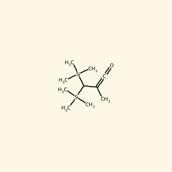 CC(=C=O)C([Si](C)(C)C)[Si](C)(C)C